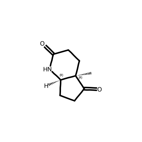 C[C@@]12CCC(=O)N[C@@H]1CCC2=O